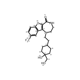 O=C1NCCN(CCC2CCC(O)(CO)CC2)c2c1oc1ccc(C(F)(F)F)cc21